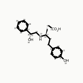 CC(=O)O.C[C@@H](CCc1ccc(O)cc1)NC[C@H](O)c1ccccc1